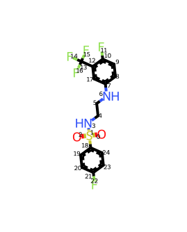 O=S(=O)(NCCNc1ccc(F)c(C(F)(F)F)c1)c1ccc(F)cc1